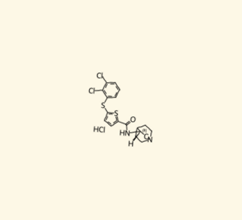 Cl.O=C(N[C@H]1CN2CCC1CC2)c1ccc(Sc2cccc(Cl)c2Cl)s1